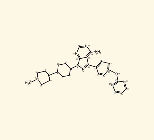 CN1CCN(C2CCC(n3nc(-c4ccc(Oc5ncccn5)cc4)c4c(N)ncnc43)CC2)CC1